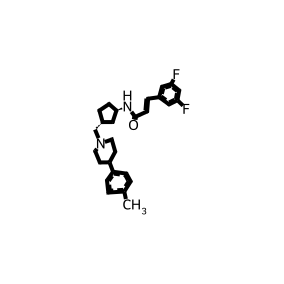 Cc1ccc(C2CCN(C[C@@H]3CC[C@H](NC(=O)/C=C/c4cc(F)cc(F)c4)C3)CC2)cc1